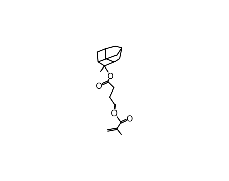 C=C(C)C(=O)OCCCC(=O)OC1(C)C2CC3CC(C2)CC1C3